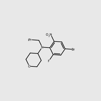 CC(C)CN(c1c(F)cc(Br)cc1[N+](=O)[O-])C1CCOCC1